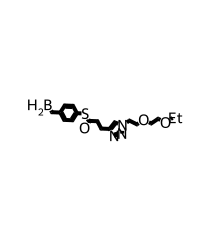 BCc1ccc(SC(=O)CCc2cn(CCOCCOCC)nn2)cc1